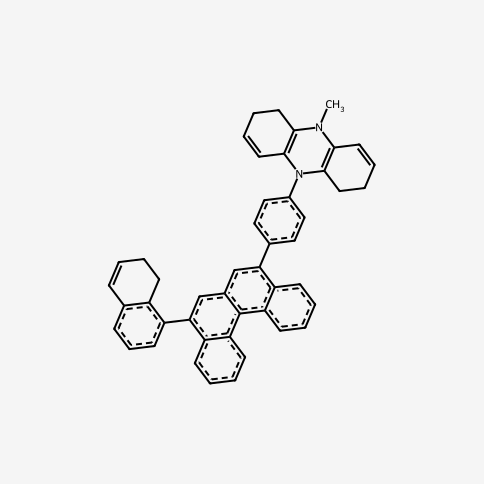 CN1C2=C(CCC=C2)N(c2ccc(-c3cc4cc(-c5cccc6c5CCC=C6)c5ccccc5c4c4ccccc34)cc2)C2=C1CCC=C2